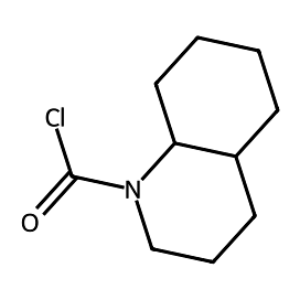 O=C(Cl)N1CCCC2CCCCC21